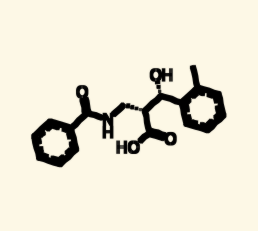 Cc1ccccc1[C@@H](O)[C@@H](CNC(=O)c1ccccc1)C(=O)O